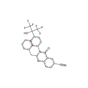 N#Cc1ccc2nc(Cc3ccccc3)n(-c3ccc(C(O)(C(F)(F)F)C(F)(F)F)cc3)c(=O)c2c1